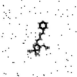 CC1(C)O[C@@H](CO)[C@H](COOCc2ccccc2)O1